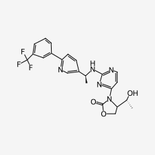 C[C@H](Nc1nccc(N2C(=O)OCC2[C@@H](C)O)n1)c1ccc(-c2cccc(C(F)(F)F)c2)nc1